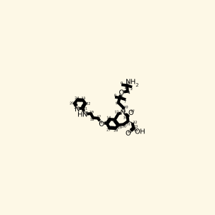 CC(C)(N)COC(C)(C)CCN1Cc2cc(OCCCNc3ccccn3)ccc2C[C@@H](CC(=O)O)C1=O